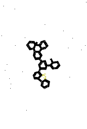 CC1CC=CC=C1c1cc(-c2ccc3c(c2)-c2ccccc2C2(C)C=CC=CC32)cc(-c2cccc3c2sc2ccccc23)c1